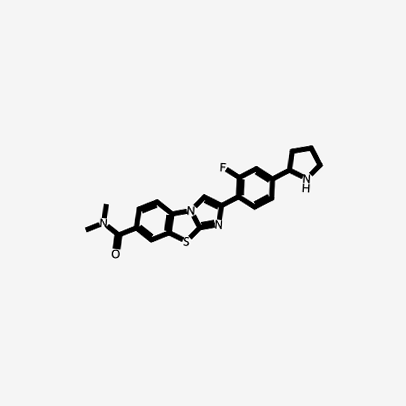 CN(C)C(=O)c1ccc2c(c1)sc1nc(-c3ccc(C4CCCN4)cc3F)cn12